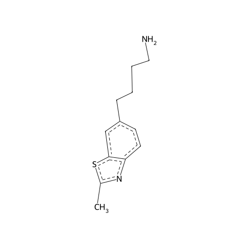 Cc1nc2ccc(CCCCN)cc2s1